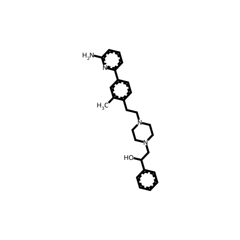 Cc1cc(-c2cccc(N)n2)ccc1CCN1CCN(CC(O)c2ccccc2)CC1